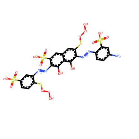 Nc1ccc(/N=N/c2c(SOOO)cc3cc(S(=O)(=O)O)c(/N=N/c4cc(S(=O)(=O)O)ccc4SOOO)c(O)c3c2O)c(S(=O)(=O)O)c1